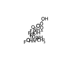 C[C@@]1(N)CNc2c1cc([C@](O)(CNC(=O)c1ccc(OCCO)c(OC3CC3)c1)C(F)(F)F)nc2-c1ccc(F)cc1